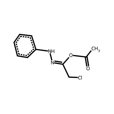 CC(=O)OC(CCl)=NNc1ccccc1